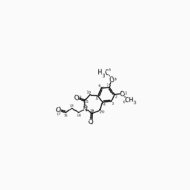 COc1cc2c(cc1OC)CC(=O)N(CCC=O)C(=O)C2